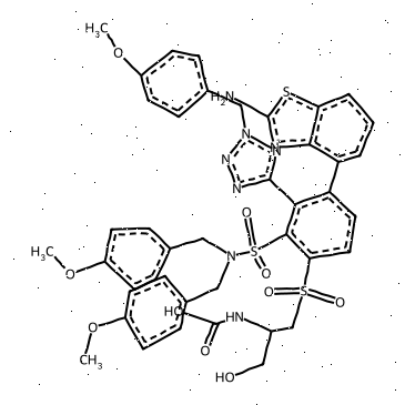 COc1ccc(CN(Cc2ccc(OC)cc2)S(=O)(=O)c2c(S(=O)(=O)CC(CO)NC(=O)O)ccc(-c3cccc4sc(N)nc34)c2-c2nnn(Cc3ccc(OC)cc3)n2)cc1